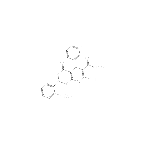 COC(=O)C1=C(C)NC2=C(C(=O)C[C@H](c3ccccc3OC)C2)[C@@H]1c1ccccc1